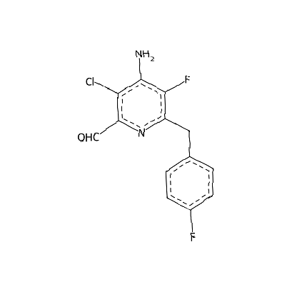 Nc1c(F)c(Cc2ccc(F)cc2)nc(C=O)c1Cl